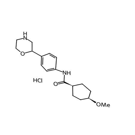 CO[C@H]1CC[C@@H](C(=O)Nc2ccc(C3CNCCO3)cc2)CC1.Cl